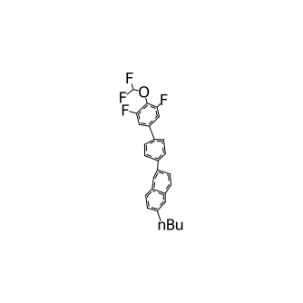 CCCCc1ccc2cc(-c3ccc(-c4cc(F)c(OC(F)F)c(F)c4)cc3)ccc2c1